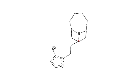 Brc1ccoc1CCCB1C2CCCCC1CCC2